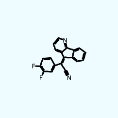 N#C/C(=C1\c2ccccc2-c2ncccc21)c1ccc(F)c(F)c1